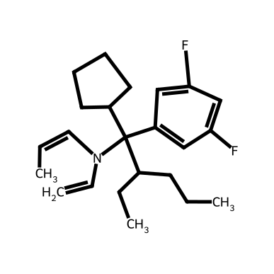 C=CN(/C=C\C)C(c1cc(F)cc(F)c1)(C(CC)CCC)C1CCCC1